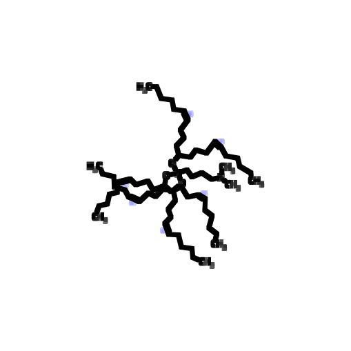 CCCCC/C=C\CCCC(CCC/C=C\CCCCC)O[Si](CCCCN(C)C)(OC(CCC/C=C\CCCCC)CCC/C=C\CCCCC)OC(CCC/C=C\CCCCC)CCC/C=C\CCCCC